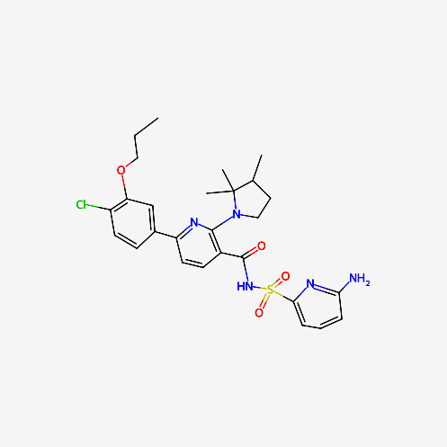 CCCOc1cc(-c2ccc(C(=O)NS(=O)(=O)c3cccc(N)n3)c(N3CCC(C)C3(C)C)n2)ccc1Cl